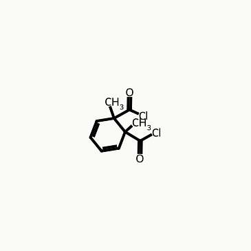 CC1(C(=O)Cl)C=CC=CC1(C)C(=O)Cl